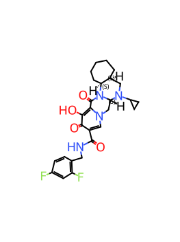 O=C(NCc1ccc(F)cc1F)c1cn2c(c(O)c1=O)C(=O)N1[C@H]3CCCCC[C@H]3CN(C3CC3)[C@@H]1C2